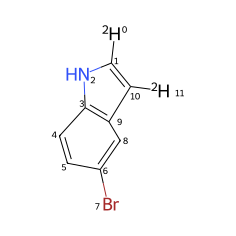 [2H]c1[nH]c2ccc(Br)cc2c1[2H]